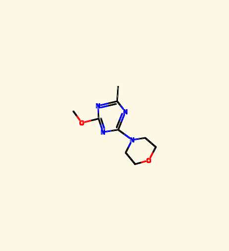 COc1nc(C)nc(N2CCOCC2)n1